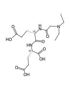 CCN(CC)CC(=O)N[C@@H](CCC(=O)O)C(=O)N[C@@H](CCC(=O)O)C(=O)O